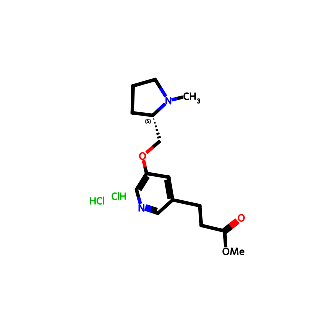 COC(=O)CCc1cncc(OC[C@@H]2CCCN2C)c1.Cl.Cl